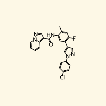 Cc1cc(F)c(-c2cnn(-c3ccc(Cl)cc3)c2)cc1NC(=O)c1cnn2ccccc12